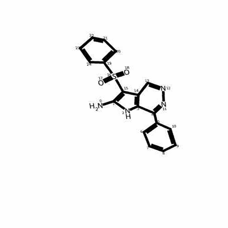 Nc1[nH]c2c(-c3ccccc3)nncc2c1S(=O)(=O)c1ccccc1